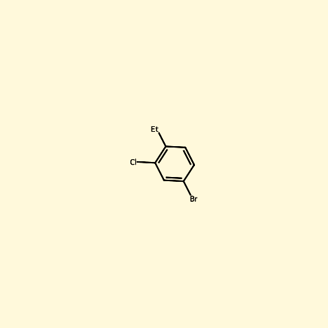 CCc1ccc(Br)cc1Cl